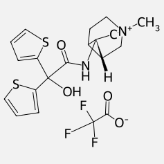 C[N+]12CCC(CC1)[C@@H](NC(=O)C(O)(c1cccs1)c1cccs1)C2.O=C([O-])C(F)(F)F